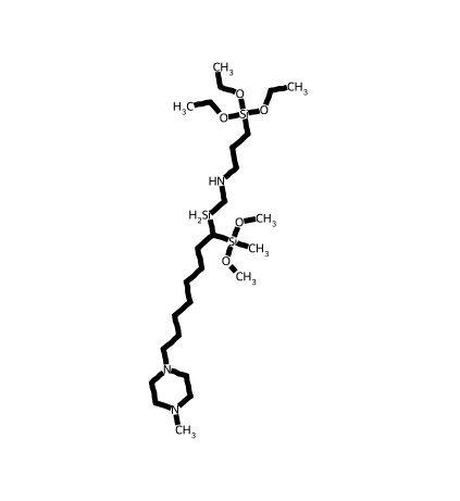 CCO[Si](CCCNC[SiH2]C(CCCCCCCN1CCN(C)CC1)[Si](C)(OC)OC)(OCC)OCC